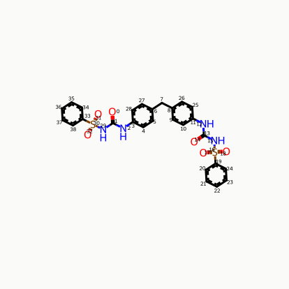 O=C(Nc1ccc(Cc2ccc(NC(=O)NS(=O)(=O)c3ccccc3)cc2)cc1)NS(=O)(=O)c1ccccc1